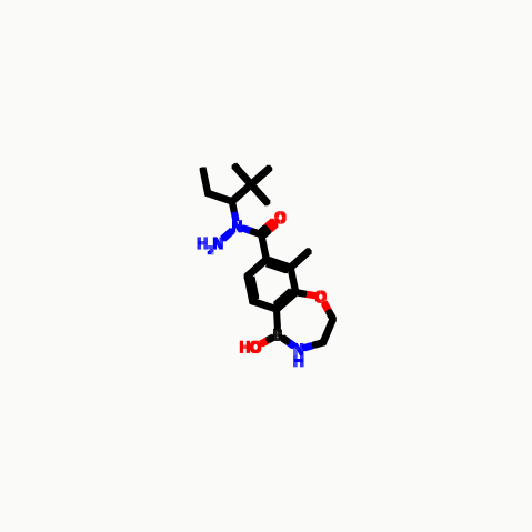 CCC(N(N)C(=O)c1ccc2c(c1C)OCCNB2O)C(C)(C)C